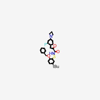 CC(C)(C)c1ccc(OCc2ccccc2)c(SNC(=O)c2cc3c(F)cc(N4CCC4)cc3o2)c1